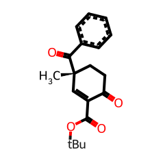 CC(C)(C)OC(=O)C1=C[C@](C)(C(=O)c2ccccc2)CCC1=O